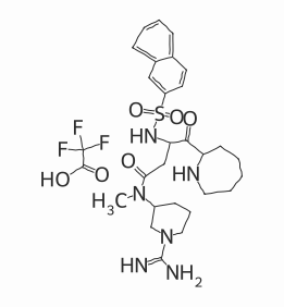 CN(C(=O)CC(NS(=O)(=O)c1ccc2ccccc2c1)C(=O)C1CCCCCN1)C1CCCN(C(=N)N)C1.O=C(O)C(F)(F)F